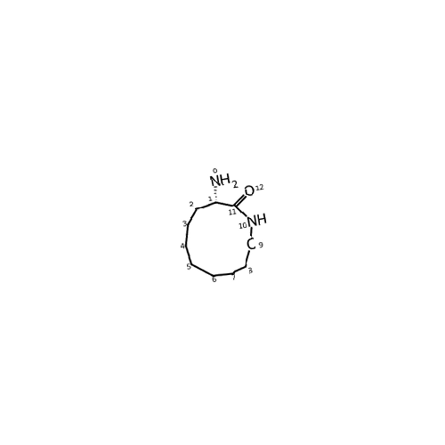 N[C@H]1CCCCCCCCNC1=O